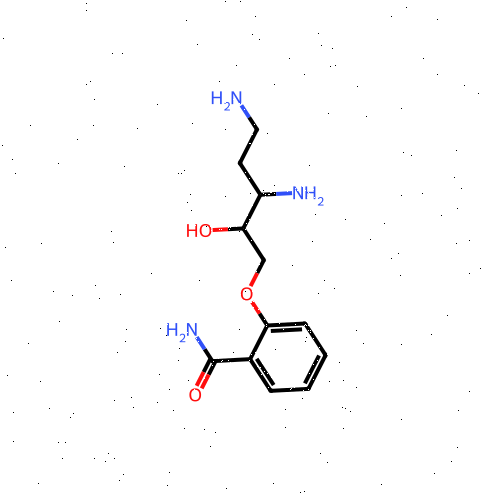 NCCC(N)C(O)COc1ccccc1C(N)=O